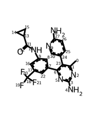 Cc1nc(N)nc(-c2cc(NC(=O)C3CC3)cc(C(F)(F)F)c2)c1-c1ccc(N)nc1